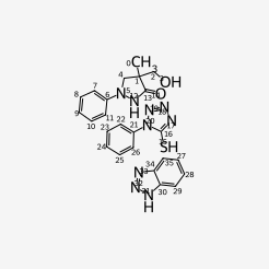 CC1(CO)CN(c2ccccc2)NC1=O.Sc1nnnn1-c1ccccc1.c1ccc2[nH]nnc2c1